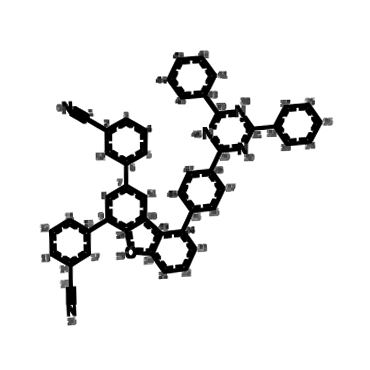 N#Cc1cccc(-c2cc(-c3cccc(C#N)c3)c3oc4cccc(-c5ccc(-c6nc(-c7ccccc7)nc(-c7ccccc7)n6)cc5)c4c3c2)c1